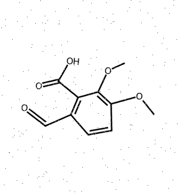 COc1ccc(C=O)c(C(=O)O)c1OC